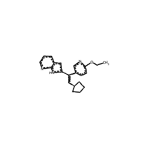 CCOc1ccc(C(=CC2CCCC2)c2cc3cccnc3[nH]2)cn1